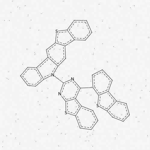 c1ccc2c(c1)sc1cc3c4ccccc4n(-c4nc(-c5cccc6c5sc5ccccc56)c5c(n4)sc4ccccc45)c3cc12